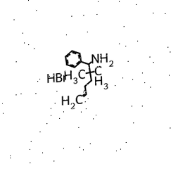 Br.C=CCCC(C)(C)C(N)c1ccccc1